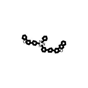 c1ccc(-c2nc(-c3ccc(-c4ccc5oc6ccccc6c5c4)cc3)nc(-c3cccc(-c4ccc(-c5ccc6oc7cc8ccccc8cc7c6c5)cc4)c3)n2)cc1